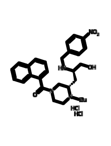 CCC(C)N1CCN(C(=O)c2cccc3ccccc23)C[C@@H]1C[C@H](CO)NCc1ccc([N+](=O)[O-])cc1.Cl.Cl